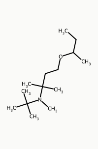 CCC(C)OCCC(C)(C)N(C)C(C)(C)C